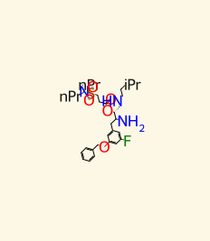 CCCN(CCC)S(=O)(=O)CCC(=O)O[C@H](CNCCC(C)C)[C@@H](N)Cc1cc(F)cc(OCc2ccccc2)c1